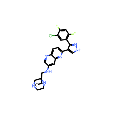 Fc1cc(F)c(-c2n[nH]cc2-c2ccc3ncc(NCC4CN5CCN4CC5)cc3n2)cc1Cl